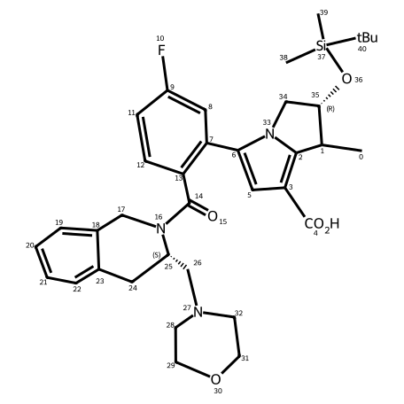 CC1c2c(C(=O)O)cc(-c3cc(F)ccc3C(=O)N3Cc4ccccc4C[C@H]3CN3CCOCC3)n2C[C@@H]1O[Si](C)(C)C(C)(C)C